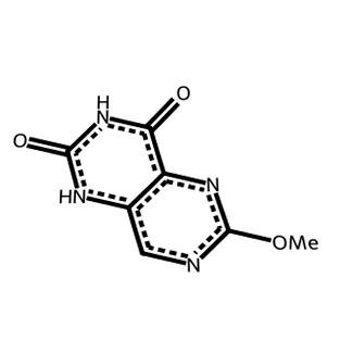 COc1ncc2[nH]c(=O)[nH]c(=O)c2n1